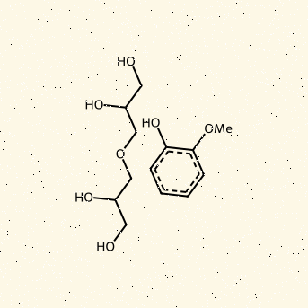 COc1ccccc1O.OCC(O)COCC(O)CO